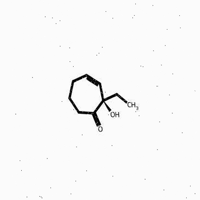 CC[C@@]1(O)C=CCCCC1=O